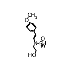 COc1ccc(C=CN(CCO)[SH](=O)=O)cc1